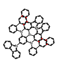 c1ccc(-c2ccccc2N2c3cc(-n4c5ccccc5c5ccccc54)cc4c3B(c3c2cc(-c2ccccc2)c2c3oc3ccccc32)c2c(cc(-c3ccccc3)c3c2oc2ccccc23)N4c2ccccc2-c2ccccc2)cc1